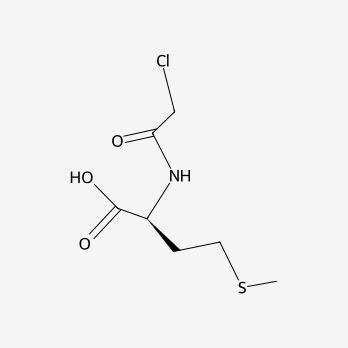 CSCC[C@H](NC(=O)CCl)C(=O)O